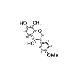 COc1ccc(C2COc3c(ccc(O)c3C)C2O)cc1